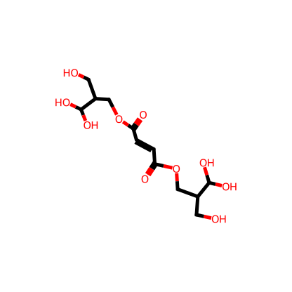 O=C(C=CC(=O)OCC(CO)C(O)O)OCC(CO)C(O)O